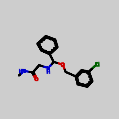 CNC(=O)CNC(OCc1cccc(Cl)c1)c1ccccc1